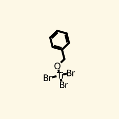 [Br][Ti]([Br])([Br])[O]Cc1ccccc1